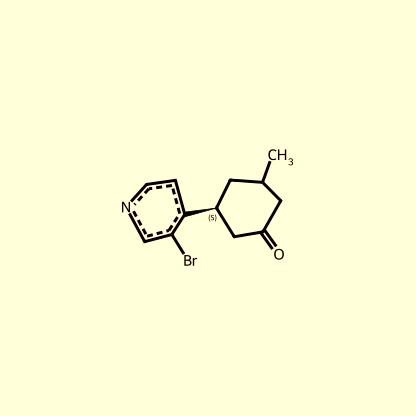 CC1CC(=O)C[C@@H](c2ccncc2Br)C1